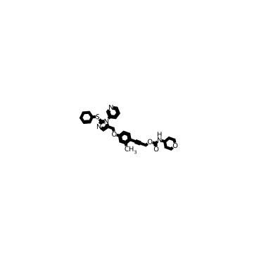 Cc1cc(OCc2cnc(SC3C=CCCC3)n2-c2cccnc2)ccc1C#CCOC(=O)NC1CCOCC1